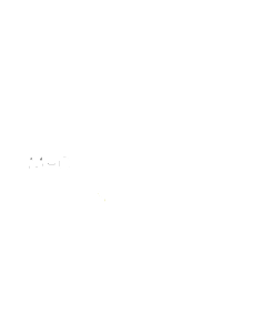 COSc1[c]cccc1